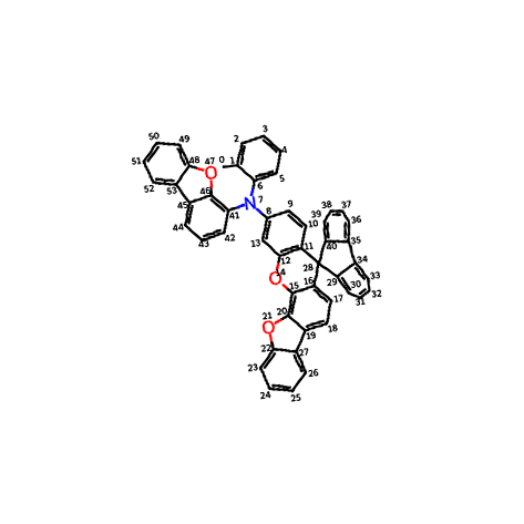 Cc1ccccc1N(c1ccc2c(c1)Oc1c(ccc3c1oc1ccccc13)C21c2ccccc2-c2ccccc21)c1cccc2c1oc1ccccc12